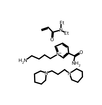 C1CCN(CCCN2CCCCC2)CC1.C=CC(=O)N(CC)CC.NCCCC[n+]1cccc(C(N)=O)c1